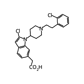 O=C(O)Cc1ccc2cc(Cl)n(C3CCN(CCc4ccccc4Cl)CC3)c2c1